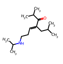 CC(C)C/C(=C\CCNC(C)C)C(=O)C(C)C